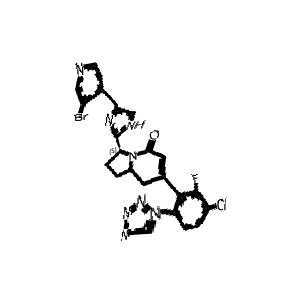 O=C1C=C(c2c(-n3cnnn3)ccc(Cl)c2F)CC2CC[C@@H](c3nc(-c4ccncc4Br)c[nH]3)N12